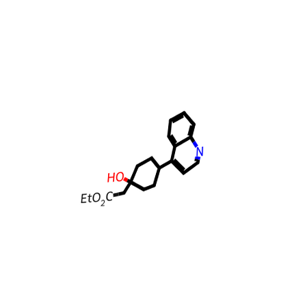 CCOC(=O)CC1(O)CCC(c2ccnc3ccccc23)CC1